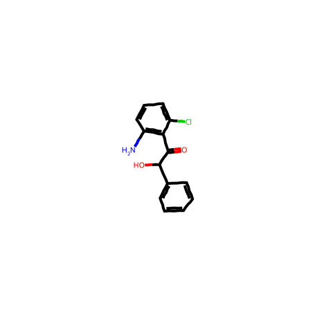 Nc1cccc(Cl)c1C(=O)C(O)c1ccccc1